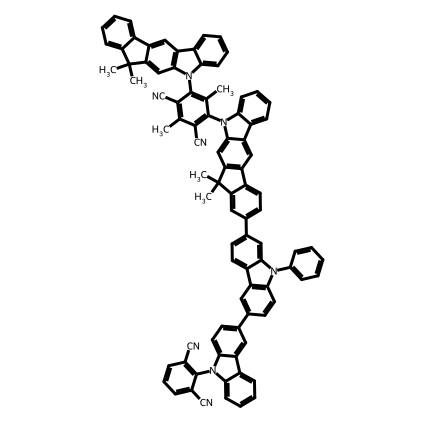 Cc1c(C#N)c(-n2c3ccccc3c3cc4c(cc32)C(C)(C)c2ccccc2-4)c(C)c(-n2c3ccccc3c3cc4c(cc32)C(C)(C)c2cc(-c3ccc5c6cc(-c7ccc8c(c7)c7ccccc7n8-c7c(C#N)cccc7C#N)ccc6n(-c6ccccc6)c5c3)ccc2-4)c1C#N